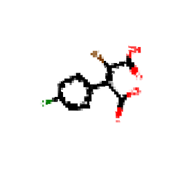 O=C(O)C(S)=C(C(=O)O)c1ccc(Cl)cc1